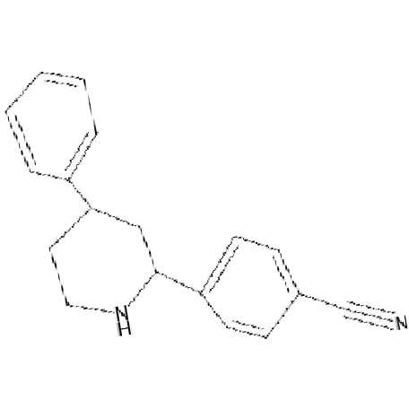 N#Cc1ccc(C2CC(c3ccccc3)CCN2)cc1